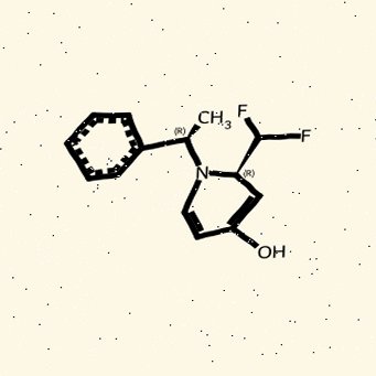 C[C@H](c1ccccc1)N1C=CC(O)=C[C@@H]1C(F)F